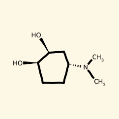 CN(C)[C@@H]1CC[C@@H](O)[C@@H](O)C1